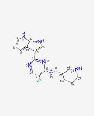 Fc1cnc(C2=CNC3NC=CC=C23)nc1NC[C@H]1CCCNC1